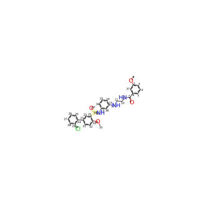 COc1cccc(C(=O)NCCNc2cccc(N[S+]([O-])c3cc(-c4ccccc4Cl)ccc3OC)c2)c1